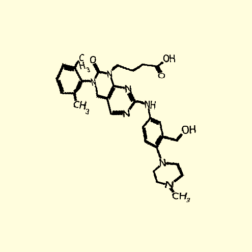 Cc1cccc(C)c1N1Cc2cnc(Nc3ccc(N4CCN(C)CC4)c(CO)c3)nc2N(CCCC(=O)O)C1=O